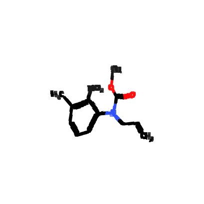 C=CCN(C(=O)OC(C)(C)C)c1cccc(C)c1[N+](=O)[O-]